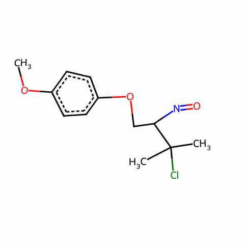 COc1ccc(OCC(N=O)C(C)(C)Cl)cc1